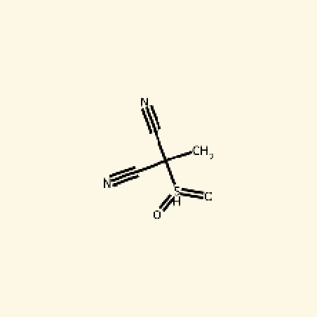 CC(C#N)(C#N)[SH](=O)=O